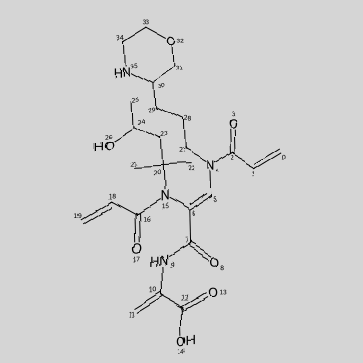 C=CC(=O)N(C=C(C(=O)NC(=C)C(=O)O)N(C(=O)C=C)C(C)(C)CC(C)O)CCCC1COCCN1